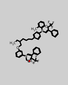 CCC(CCCCc1ccc(N(/C=C(\C(=O)C(F)(F)F)c2ccccc2)c2ccccc2C)cc1)COc1cccc(N(/C=C(\C(=O)C(F)(F)F)c2ccccc2)CC)c1